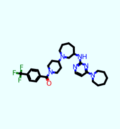 O=C(c1ccc(C(F)(F)F)cc1)N1CCC(N2CCCCC(Nc3nccc(N4CCCCCC4)n3)C2)CC1